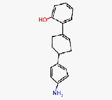 Nc1ccc(C2CC=C(c3ccccc3O)CC2)cc1